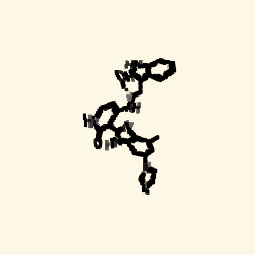 Cc1cc(-n2ccnc2)cc2[nH]c(-c3c(N[C@H](CO)Cc4c[nH]c5ccccc45)cc[nH]c3=O)nc12